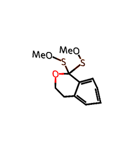 COSC1(SOC)OCCc2ccccc21